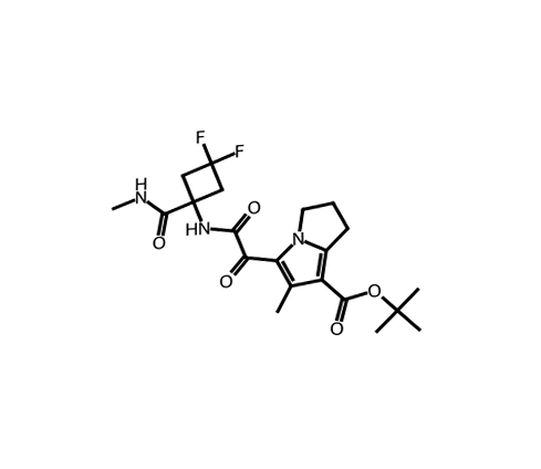 CNC(=O)C1(NC(=O)C(=O)c2c(C)c(C(=O)OC(C)(C)C)c3n2CCC3)CC(F)(F)C1